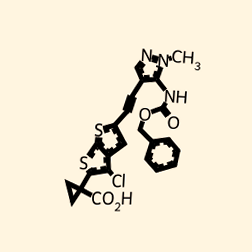 Cn1ncc(C#Cc2cc3c(Cl)c(C4(C(=O)O)CC4)sc3s2)c1NC(=O)OCc1ccccc1